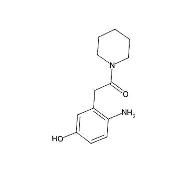 Nc1ccc(O)cc1CC(=O)N1CCCCC1